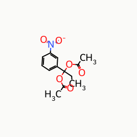 CCC(OC(C)=O)(OC(C)=O)c1cccc([N+](=O)[O-])c1